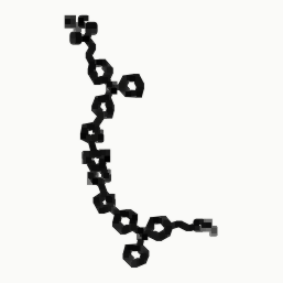 CCCc1ccc(N(c2ccccc2)c2ccc(-c3ccc(-c4nc5sc(-c6ccc(-c7ccc(N(c8ccccc8)c8ccc(CCC(=O)OC)cc8)cc7)s6)nc5s4)s3)cc2)cc1